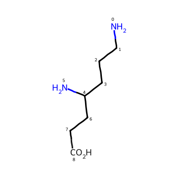 NCCCC(N)CCC(=O)O